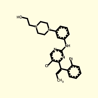 C/C=C(\c1ccccc1CC)c1nc(Nc2cccc(N3CCN(CCO)CC3)c2)ncc1Cl